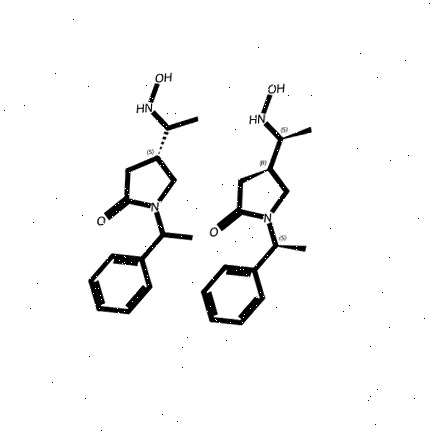 CC(NO)[C@H]1CC(=O)N(C(C)c2ccccc2)C1.C[C@H](NO)[C@@H]1CC(=O)N([C@@H](C)c2ccccc2)C1